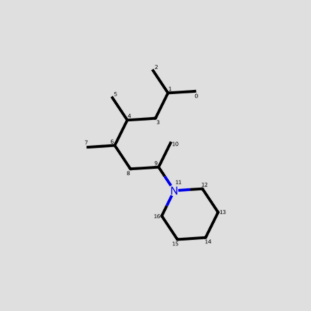 CC(C)CC(C)C(C)CC(C)N1CCCCC1